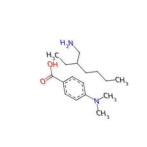 CCCCC(CC)CN.CN(C)c1ccc(C(=O)O)cc1